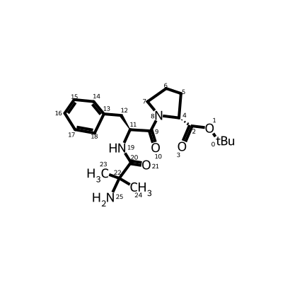 CC(C)(C)OC(=O)[C@H]1CCCN1C(=O)[C@H](Cc1ccccc1)NC(=O)C(C)(C)N